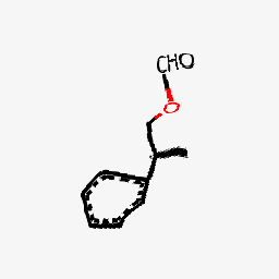 C[C](COC=O)c1ccccc1